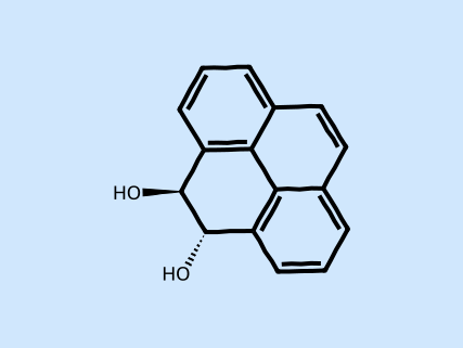 O[C@H]1c2cccc3ccc4cccc(c4c23)[C@@H]1O